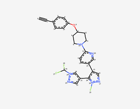 C#Cc1ccc(OC2CCN(c3ccc(-c4cnn(F)c4-c4cnn(C(F)F)c4)cn3)CC2)cc1